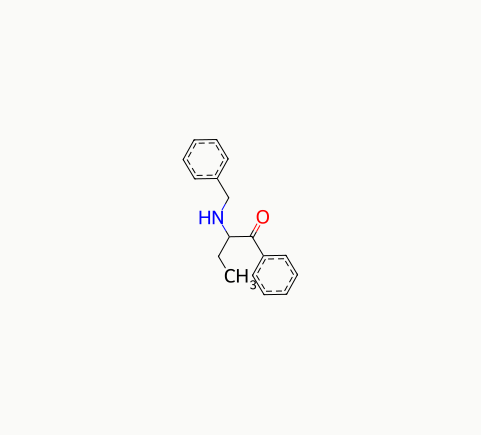 CCC(NCc1ccccc1)C(=O)c1ccccc1